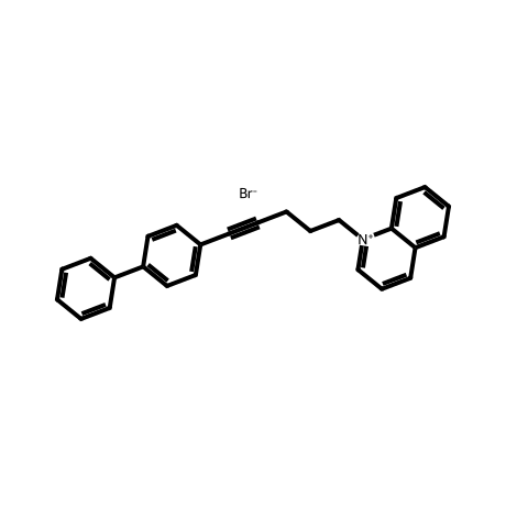 C(#Cc1ccc(-c2ccccc2)cc1)CCC[n+]1cccc2ccccc21.[Br-]